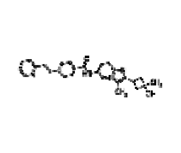 Cc1c(C2CC(C)(O)C2)nc2ccc(NC(=O)c3ccc(C=Cc4ccccn4)cc3)cn12